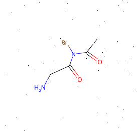 [CH2]C(=O)N(Br)C(=O)CN